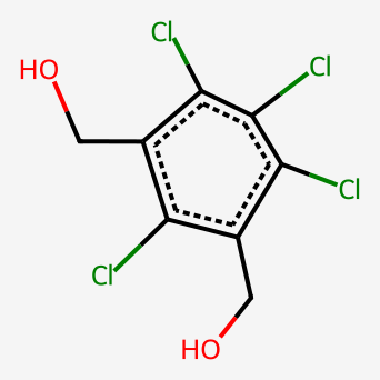 OCc1c(Cl)c(Cl)c(Cl)c(CO)c1Cl